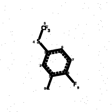 [CH2]c1cc(SC(F)(F)F)ccc1F